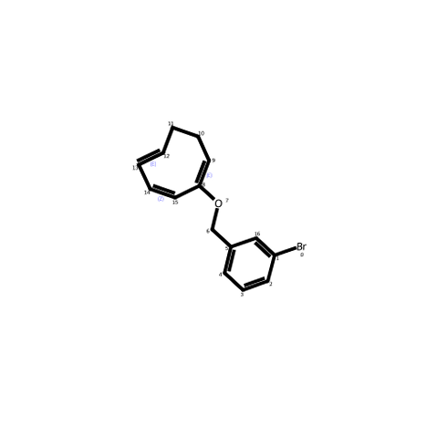 Brc1cccc(COC2=C/CC/C=C/C=C\2)c1